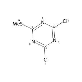 CSc1nc(Cl)nc(Cl)n1